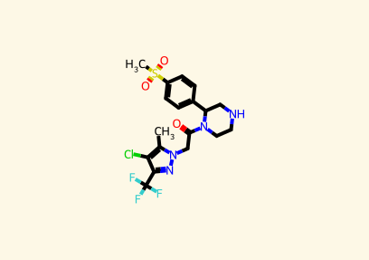 Cc1c(Cl)c(C(F)(F)F)nn1CC(=O)N1CCNCC1c1ccc(S(C)(=O)=O)cc1